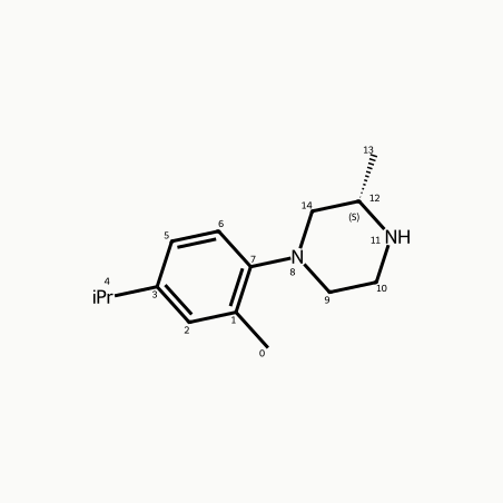 Cc1cc(C(C)C)ccc1N1CCN[C@@H](C)C1